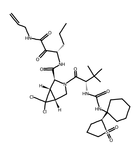 C=CCNC(=O)C(=O)[C@H](CCC)NC(=O)[C@@H]1[C@@H]2[C@H](CN1C(=O)[C@@H](NC(=O)NC1([C@@H]3CCCS3(=O)=O)CCCCC1)C(C)(C)C)C2(Cl)Cl